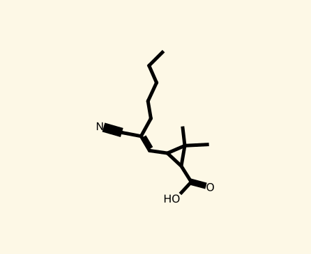 CCCCC/C(C#N)=C\C1C(C(=O)O)C1(C)C